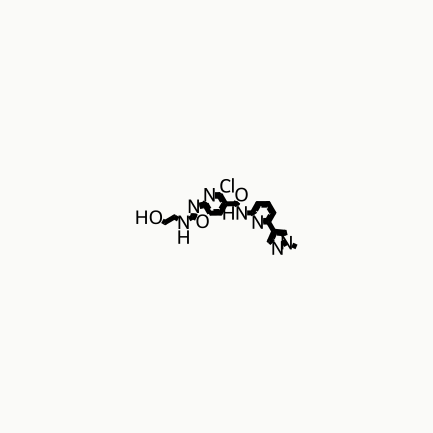 Cn1cc(-c2cccc(NC(=O)c3cc4oc(NCCO)nc4nc3Cl)n2)cn1